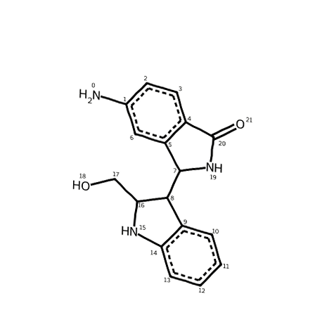 Nc1ccc2c(c1)C(C1c3ccccc3NC1CO)NC2=O